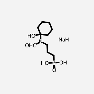 O=CN(CCCP(=O)(O)O)C1(O)CCCCC1.[NaH]